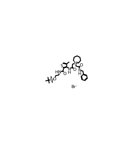 Cc1csc(C(=O)NCCO[Si](C)(C)C(C)(C)C)c1NC(=O)C[N+]1(CC(=O)NCc2ccccc2)CCCCCC1.[Br-]